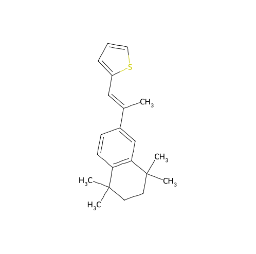 CC(=Cc1cccs1)c1ccc2c(c1)C(C)(C)CCC2(C)C